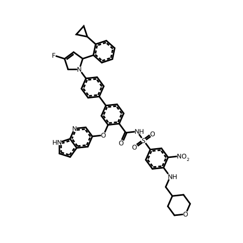 O=C(NS(=O)(=O)c1ccc(NCC2CCOCC2)c([N+](=O)[O-])c1)c1ccc(-c2ccc(N3CC(F)=CC3c3ccccc3C3CC3)cc2)cc1Oc1cnc2[nH]ccc2c1